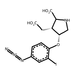 [N-]=[N+]=Nc1ccc(O[C@H]2CNC(C(=O)O)[C@H]2CC(=O)O)c(I)c1